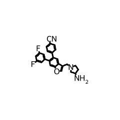 N#Cc1ccc(-c2cc3c(CN4CCC(N)C4)coc3cc2-c2cc(F)cc(F)c2)cc1